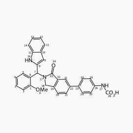 COc1ccccc1C(c1cc2ccccc2[nH]1)N1Cc2ccc(-c3ccc(NC(=O)O)cc3)cc2C1=O